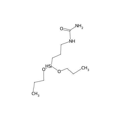 CCCO[SiH](CCCNC(N)=O)OCCC